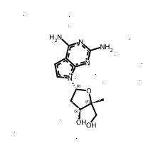 C[C@]1(CO)O[C@@H](n2ccc3c(N)nc(N)nc32)C[C@@H]1O